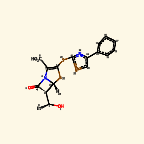 CC[C@H](O)[C@@H]1C(=O)N2C(C(=O)O)=C(Sc3nc(-c4ccccc4)cs3)S[C@H]12